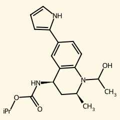 CC(C)OC(=O)N[C@@H]1C[C@H](C)N(C(C)O)c2ccc(-c3ccc[nH]3)cc21